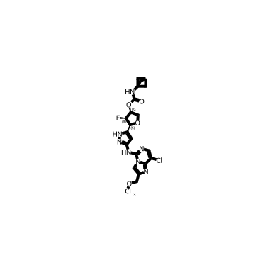 O=C(NC12CC(C1)C2)O[C@H]1CO[C@@H](c2cc(Nc3ncc(Cl)c4nc(COC(F)(F)F)cn34)n[nH]2)[C@H]1F